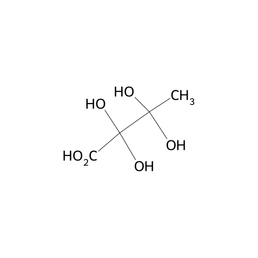 CC(O)(O)C(O)(O)C(=O)O